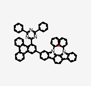 c1ccc(-c2nc(-c3ccccc3)nc(-c3cc(-c4ccc5c6ccc7c8ccccc8n(-c8ccccc8)c7c6n(-c6ccccc6)c5c4)cc4c5ccccc5c5ccccc5c34)n2)cc1